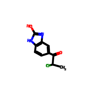 CC(Cl)C(=O)c1ccc2[nH]c(O)nc2c1